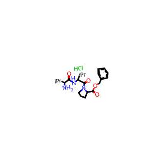 CC(C)C(N)C(=O)NC(C(=O)N1CCCC1C(=O)OCc1ccccc1)C(C)C.Cl